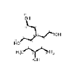 CCC(O)CN.OCCN(CCO)CCO